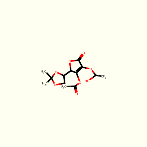 CC1(C)OCC(C2OC(=O)C(OC(O)C(F)(F)F)=C2OC(=O)C(F)(F)F)O1